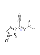 CC(C)/C=C(\C#N)c1ccc(Cl)s1